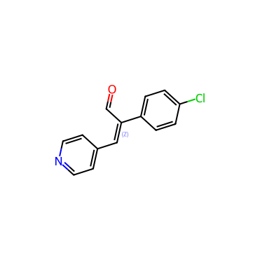 O=C/C(=C\c1ccncc1)c1ccc(Cl)cc1